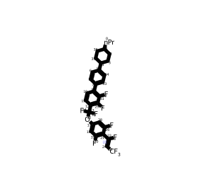 CCCC1CCC(c2ccc(-c3ccc(C(F)(F)Oc4cc(F)c(/C(F)=C/C(F)(F)F)c(F)c4)c(F)c3F)cc2)CC1